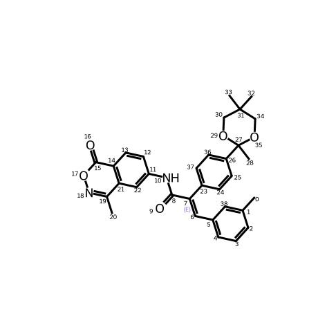 Cc1cccc(/C=C(/C(=O)Nc2ccc3c(=O)onc(C)c3c2)c2ccc(C3(C)OCC(C)(C)CO3)cc2)c1